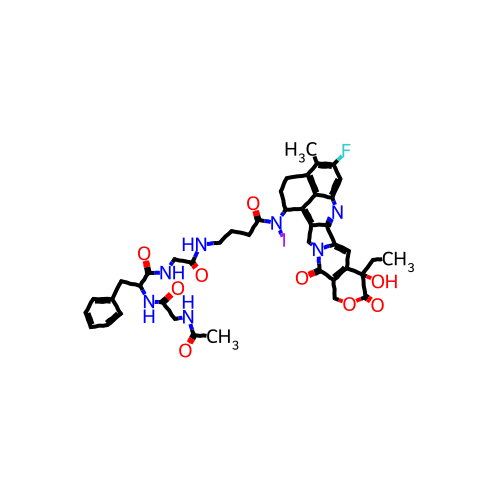 CCC1(O)C(=O)OCc2c1cc1n(c2=O)Cc2c-1nc1cc(F)c(C)c3c1c2C(N(I)C(=O)CCCNC(=O)CNC(=O)C(Cc1ccccc1)NC(=O)CNC(C)=O)CC3